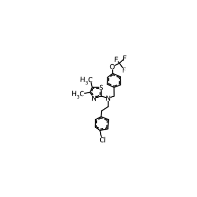 Cc1nc(N(CCc2ccc(Cl)cc2)Cc2ccc(OC(F)(F)F)cc2)sc1C